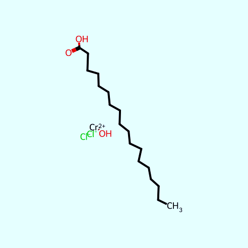 CCCCCCCCCCCCCCCCCC(=O)O.[Cl-].[Cl-].[OH][Cr+2]